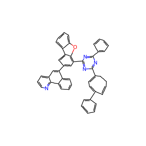 C1=C/C(c2ccccc2)=C\C=C(\c2nc(-c3ccccc3)nc(-c3cc(-c4cc5cccnc5c5ccccc45)cc4c3oc3ccccc34)n2)CC\1